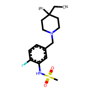 CC(C)C1(CC#N)CCN(Cc2ccc(F)c(NS(C)(=O)=O)c2)CC1